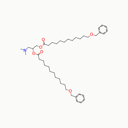 CN(C)CC(COC(=O)CCCCCCCCCCCOCc1ccccc1)OC(=O)CCCCCCCCCCCOCc1ccccc1